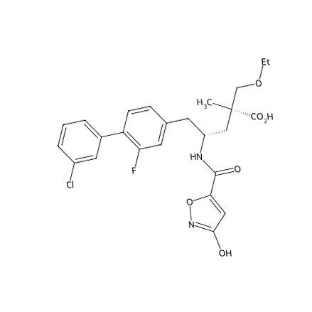 CCOC[C@](C)(C[C@@H](Cc1ccc(-c2cccc(Cl)c2)c(F)c1)NC(=O)c1cc(O)no1)C(=O)O